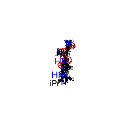 C=Cc1cnc(CC(C)C)c2[nH]c(Cn3c(C)c(C)cc(NC(=O)[C@H](CC/C=C/C(=O)N(C)C)OC(=O)N(C)C)c3=O)nc12